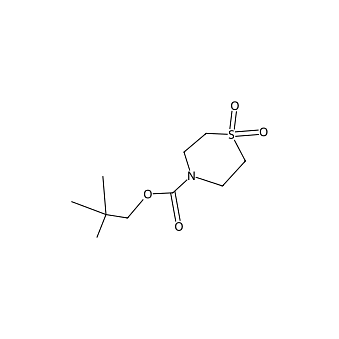 CC(C)(C)COC(=O)N1CCS(=O)(=O)CC1